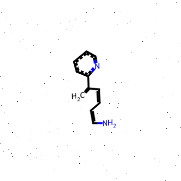 C=C(/C=C\C=C/N)c1ccccn1